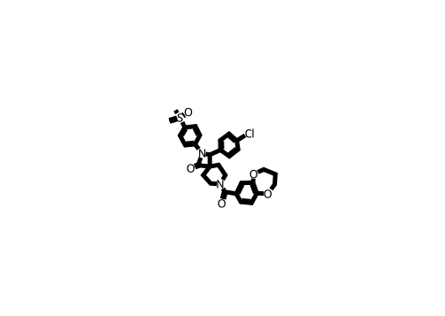 C=S(C)(=O)c1ccc(N2C(=O)C3(CCN(C(=O)c4ccc5c(c4)OCCCO5)CC3)C2c2ccc(Cl)cc2)cc1